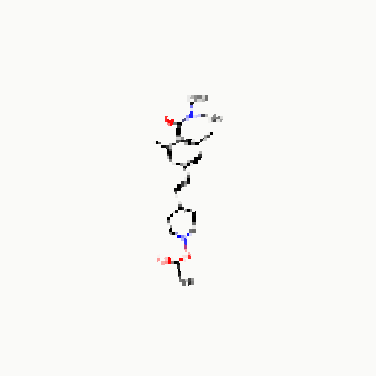 CCCCN(CCCC)C(=O)c1c(C)cc(/C=C/C2CCN(OC(=O)C(C)(C)C)CC2)cc1C